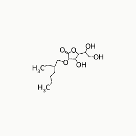 CCCCC(CC)COC1=C(O)C(C(O)CO)OC1=O